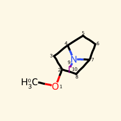 COC1CC2CCC(C1)N2I